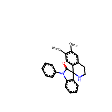 COc1cc2c(cc1OC)C1(NCC2)C(=O)N(c2ccccc2)c2ccccc21